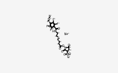 [N-]=[N+]=Nc1c(F)c(F)c(C(=O)NCCSSCCC(=O)ON2C(=O)CC(S(=O)(=O)[O-])C2=O)c(F)c1F.[Na+]